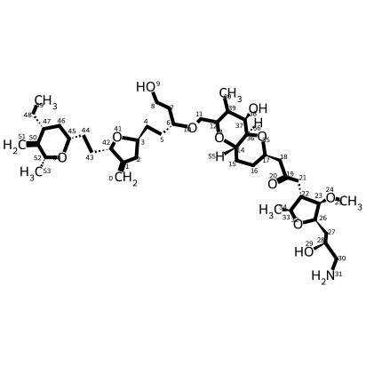 C=C1C[C@H](CC[C@H](CCO)OCC2O[C@H]3CC[C@H](CC(=O)C[C@@H]4[C@@H](OC)[C@@H](C[C@H](O)CN)O[C@H]4C)O[C@@H]3[C@H](O)C2C)O[C@H]1CC[C@H]1C[C@@H](CC)C(=C)[C@@H](C)O1